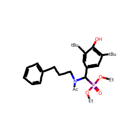 CCOP(=O)(OCC)C(c1cc(C(C)(C)C)c(O)c(C(C)(C)C)c1)N(CCCc1ccccc1)C(C)=O